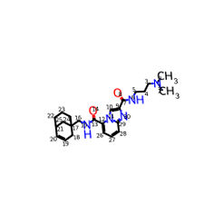 CN(C)CCCNC(=O)c1cn2c(C(=O)NCC34CC=CC(CCC3)C4)cccc2n1